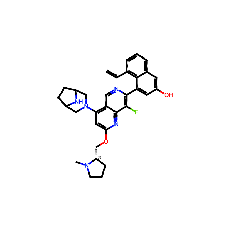 C=Cc1cccc2cc(O)cc(-c3ncc4c(N5CC6CCC(C5)N6)cc(OC[C@@H]5CCCN5C)nc4c3F)c12